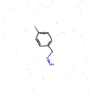 N=NCc1ccc(I)cc1